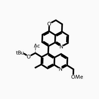 COCc1ccc2c(-c3ccc4c5c(ccnc35)CCO4)c([C@H](OC(C)(C)C)C(C)=O)c(C)cc2n1